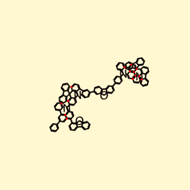 c1ccc(-c2cccc(-c3ccccc3N(c3ccc(-c4ccc5oc6cc(-c7ccc8c(c7)c7cccc9c7n8-c7ccc(N(c8ccc(-c%10cccc%11c%10oc%10ccccc%10%11)cc8)c8ccccc8-c8cccc(-c%10ccccc%10)c8)cc7C97c8ccccc8-c8ccccc87)ccc6c5c4)cc3)c3ccc4c(c3)C3(c5ccccc5-c5ccccc53)c3cccc5c6ccccc6n-4c35)c2)cc1